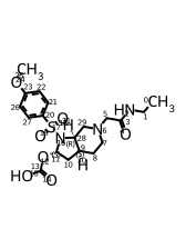 CCNC(=O)CN1CC[C@H]2C[C@H](OC(=O)O)N(S(=O)(=O)c3ccc(OC)cc3)[C@H]2C1